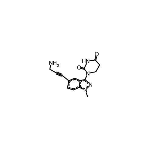 Cn1nc(N2CCC(=O)NC2=O)c2cc(C#CCN)ccc21